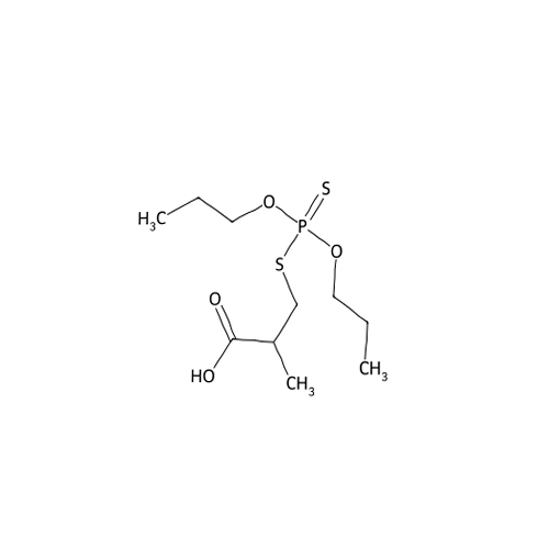 CCCOP(=S)(OCCC)SCC(C)C(=O)O